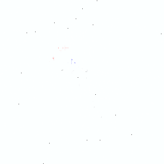 O=C(O)c1cc2c([nH]1)CC(CCc1ccccc1)C2